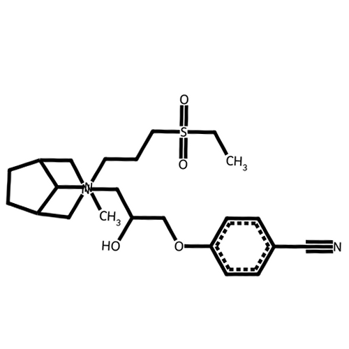 CCS(=O)(=O)CCCN(C)C1C2CCC1CN(CC(O)COc1ccc(C#N)cc1)C2